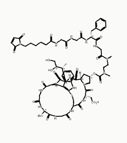 CC[C@H](C)[C@H]1NC(=O)CNC(=O)C2Cc3c([nH]c4ccccc34)SCC(NC(=O)CNC1=O)C(=O)N[C@@H](CC(=O)O)C(=O)N1C[C@@H](OC(=O)N(C)CCN(C)C(=O)CNC(=O)[C@@H](Cc3ccccc3)NC(=O)CNC(=O)CNC(=O)CCCCCN3C(=O)C=CC3=O)C[C@@H]1C(=O)N[C@H]([C@@H](C)[C@@H](O)CO)C(=O)N2